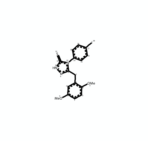 COc1ccc(OC)c(Cc2n[nH]c(=S)n2-c2ccc(I)cc2)c1